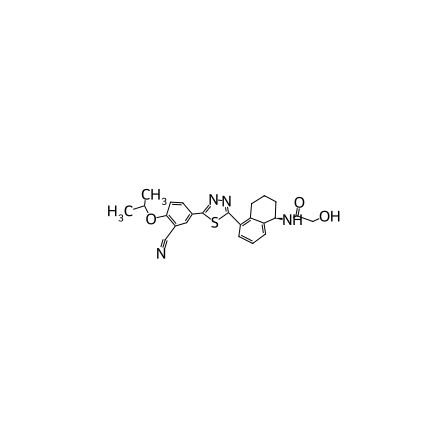 CC(C)Oc1ccc(-c2nnc(-c3cccc4c3CCC[C@H]4NC(=O)CO)s2)cc1C#N